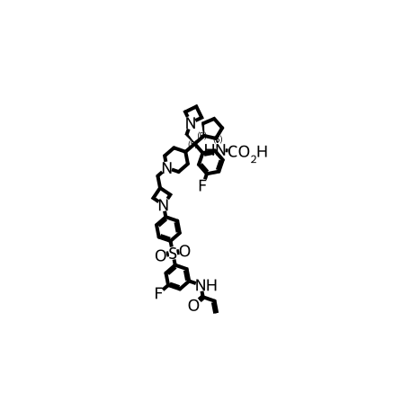 C=CC(=O)Nc1cc(F)cc(S(=O)(=O)c2ccc(N3CC(CN4CCC([C@@](CN5CCC5)(c5cccc(F)c5)[C@H]5CCC[C@@H]5NC(=O)O)CC4)C3)cc2)c1